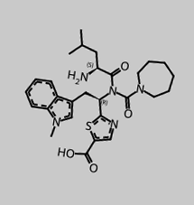 CC(C)C[C@H](N)C(=O)N(C(=O)N1CCCCCC1)[C@H](Cc1cn(C)c2ccccc12)c1ncc(C(=O)O)s1